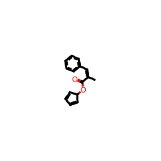 CC(=Cc1ccccc1)C(=O)OC1C=CC=C1